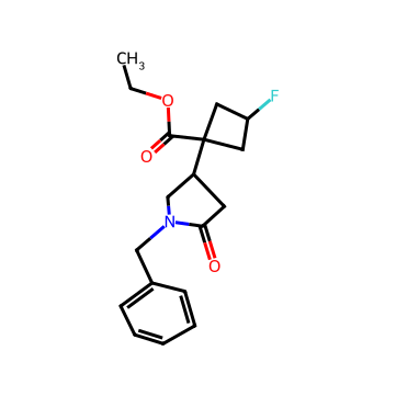 CCOC(=O)C1(C2CC(=O)N(Cc3ccccc3)C2)CC(F)C1